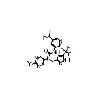 COc1ncc(N(Cc2cc(C(F)(F)F)[nH]n2)C(=O)Nc2cncc(C(F)F)c2)cn1